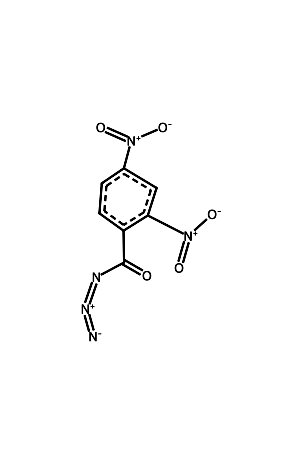 [N-]=[N+]=NC(=O)c1ccc([N+](=O)[O-])cc1[N+](=O)[O-]